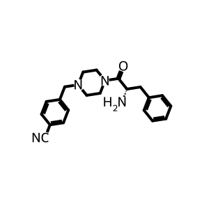 N#Cc1ccc(CN2CCN(C(=O)[C@@H](N)Cc3ccccc3)CC2)cc1